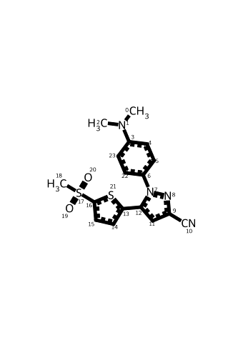 CN(C)c1ccc(-n2nc(C#N)cc2-c2ccc(S(C)(=O)=O)s2)cc1